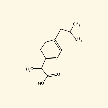 CC(C)CC1=CC=C(C(C)C(=O)O)CC1